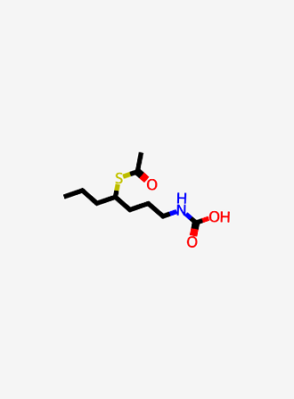 CCCC(CCCNC(=O)O)SC(C)=O